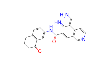 N=C/C(=C\N)c1ccncc1/C=C/C(=O)Nc1ccc2c(c1)C(=O)CCC2